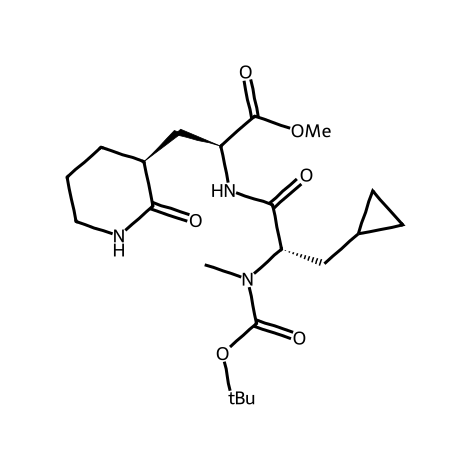 COC(=O)[C@H](C[C@@H]1CCCNC1=O)NC(=O)[C@H](CC1CC1)N(C)C(=O)OC(C)(C)C